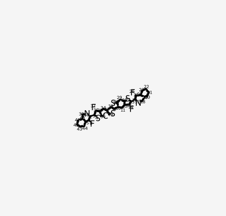 Fc1c(-c2sc3cc4sc5c6cc7c(F)c(-c8ncc9ccccc9c8F)sc7cc6sc5c4cc3c2F)ncc2ccccc12